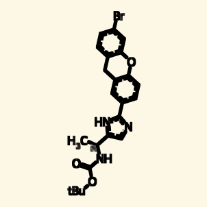 C[C@H](NC(=O)OC(C)(C)C)c1cnc(-c2ccc3c(c2)Cc2ccc(Br)cc2O3)[nH]1